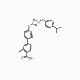 Cc1cc(-c2ccc(OC3CN(Cc4ccc(C(C)C)cc4)C3)cc2)ccc1C(=O)O